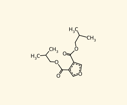 CC(C)COC(=O)c1cocc1C(=O)OCC(C)C